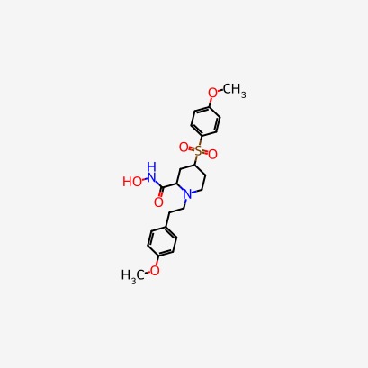 COc1ccc(CCN2CCC(S(=O)(=O)c3ccc(OC)cc3)CC2C(=O)NO)cc1